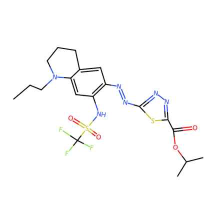 CCCN1CCCc2cc(N=Nc3nnc(C(=O)OC(C)C)s3)c(NS(=O)(=O)C(F)(F)F)cc21